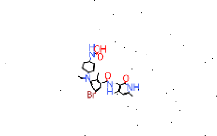 CCN(c1cc(Br)cc(C(=O)NCc2c(C)cc(C)[nH]c2=O)c1C)C1CCC(NC(=O)O)CC1